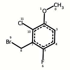 COc1ccc(F)c(CBr)c1Cl